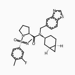 CN=[S@](=O)(c1ccc(C)c(F)c1)N1CCC[C@H]1C(=O)N(Cc1ccc2scnc2c1)[C@H]1CC[C@H]2C[C@H]2C1